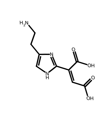 NCCc1c[nH]c(/C(=C/C(=O)O)C(=O)O)n1